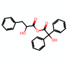 O=C(OC(=O)C(O)(c1ccccc1)c1ccccc1)C(O)Cc1ccccc1